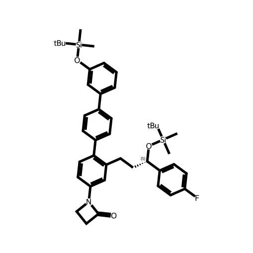 CC(C)(C)[Si](C)(C)Oc1cccc(-c2ccc(-c3ccc(N4CCC4=O)cc3CC[C@H](O[Si](C)(C)C(C)(C)C)c3ccc(F)cc3)cc2)c1